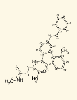 CNC(=O)CC[C@H](NC(=O)c1ccc(COc2cccnc2)cc1-c1ccccc1C)C(=O)O